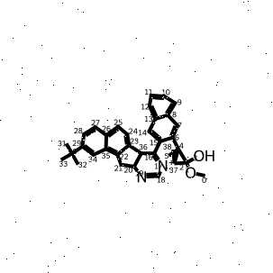 COC1(O)C2(C)c3cc4ccccc4cc3C3=[N+](C=NC4Cc5c(ccc6ccc(C(C)(C)C)cc56)C34)C12C